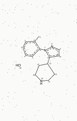 Cc1ccccc1-n1nccc1C1CCNCC1.Cl